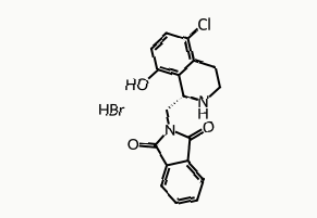 Br.O=C1c2ccccc2C(=O)N1C[C@H]1NCCc2c(Cl)ccc(O)c21